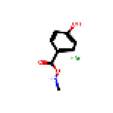 Br.CNOC(=O)c1ccc(O)cc1